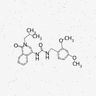 COc1ccc(CNC(=O)Nc2cn(CC(C)C)c(=O)c3ccccc23)c(OC)c1